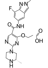 CCOc1nc(N2CCN[C@@H](C)C2)ncc1C(=O)Nc1cc(F)c2nn(C)cc2c1.O=CO